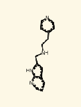 c1cnc2[nH]c(CNCCc3ccncc3)cc2c1